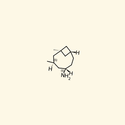 C[C@@H]1C[C@@H](N)CC[C@H]2C[C@](C)(C1)C2